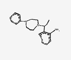 CC(c1ccccc1N)N1CCN(c2ccccc2)CC1